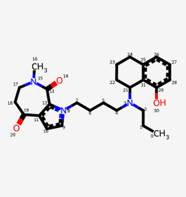 CCCN(CCCCn1ccc2c1C(=O)N(C)CCC2=O)C1CCCc2cccc(O)c21